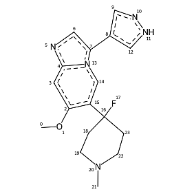 COc1cc2ncc(-c3cn[nH]c3)n2cc1C1(F)CCN(C)CC1